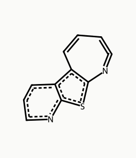 C1=CC=Cc2c(sc3ncccc23)N=1